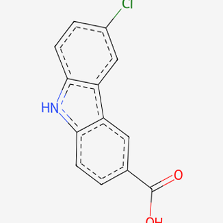 O=C(O)c1ccc2[nH]c3ccc(Cl)cc3c2c1